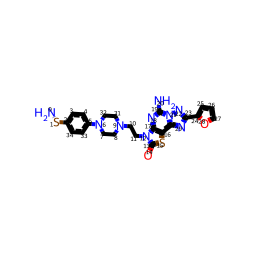 NSc1ccc(N2CCN(CCn3c(=O)sc4c3nc(N)n3nc(-c5ccco5)nc43)CC2)cc1